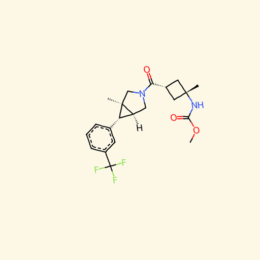 COC(=O)N[C@]1(C)C[C@H](C(=O)N2C[C@H]3[C@H](c4cccc(C(F)(F)F)c4)[C@@]3(C)C2)C1